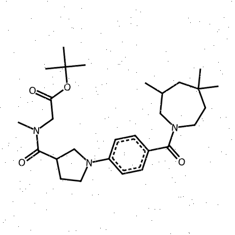 CC1CN(C(=O)c2ccc(N3CCC(C(=O)N(C)CC(=O)OC(C)(C)C)C3)cc2)CCC(C)(C)C1